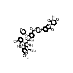 CC(C)(C)C[C@@H]1N[C@@H](C(=O)Nc2ccc(C(=O)N3CCN(c4ccc5c(c4)CN(C4CCC(=O)NC4=O)C5=O)CC3)cc2OC2CCOCC2)[C@H](c2cccc(Cl)c2F)[C@]12CNc1cc(C(F)(F)F)ncc12